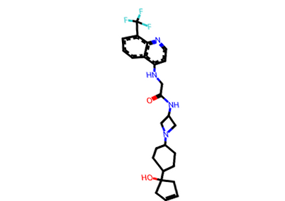 O=C(CNc1ccnc2c(C(F)(F)F)cccc12)NC1CN(C2CCC(C3(O)CC=CC3)CC2)C1